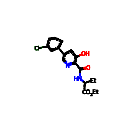 CCOC(=O)C(CC)NC(=O)c1ncc(-c2cccc(Cl)c2)cc1O